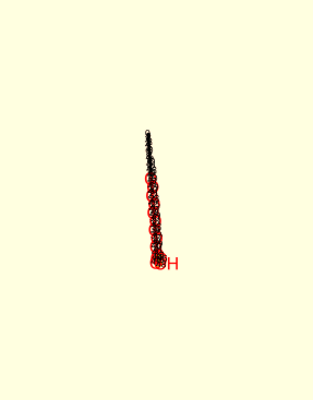 CCCCCCCCCCCCCCCCOCCOCCOCCOCCOCCOCCOCCOCCOCCOOS(=O)(=O)O